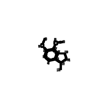 COc1ccc2c(c1OC)CCC2C